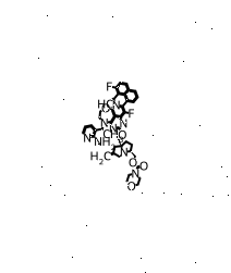 C#Cc1c(F)ccc2cccc(-c3nc4c5c(nc(OC[C@@]67CC[C@@H](COC(=O)N8CCOCC8)N6CC(=C)C7)nc5c3F)N([C@@H](C)c3cccnc3N)CCO4)c12